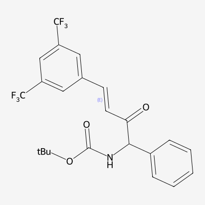 CC(C)(C)OC(=O)NC(C(=O)/C=C/c1cc(C(F)(F)F)cc(C(F)(F)F)c1)c1ccccc1